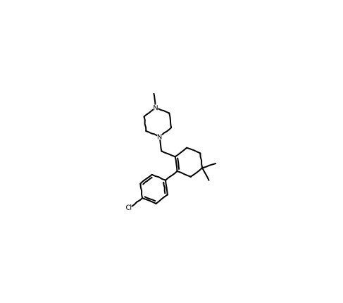 CN1CCN(CC2=C(c3ccc(Cl)cc3)CC(C)(C)CC2)CC1